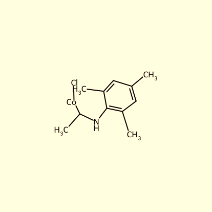 Cc1cc(C)c(N[CH](C)[Co][Cl])c(C)c1